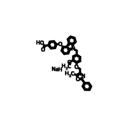 COc1cc(Cn2c3ccccc3c3c(Oc4ccc(C(=O)O)cc4)cccc32)ccc1OCc1nc(-c2ccccc2)oc1C.[NaH]